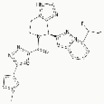 Cn1cc(-c2nnc(C(=O)N3CCc4[nH]cnc4[C@H]3c3cc4cccc(C(F)F)n4n3)o2)cn1